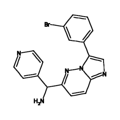 NC(c1ccncc1)c1ccc2ncc(-c3cccc(Br)c3)n2n1